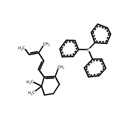 CC=C(C)C=CC1=C(C)CCCC1(C)C.c1ccc(P(c2ccccc2)c2ccccc2)cc1